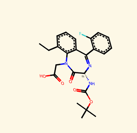 CCc1cccc2c1N(CC(=O)O)C(=O)[C@@H](NC(=O)OC(C)(C)C)N=C2c1ccccc1F